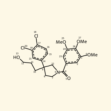 COc1cc(C(=O)N2CCC(CCCO)(c3ccc(Cl)c(Cl)c3)C2)cc(OC)c1OC